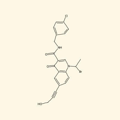 CC(Br)n1cc(C(=O)NCc2ccc(Cl)cc2)c(=O)c2cc(C#CCO)ccc21